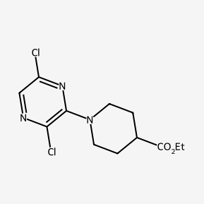 CCOC(=O)C1CCN(c2nc(Cl)cnc2Cl)CC1